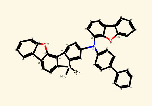 C[Si]1(C)c2cc(N(c3ccc(-c4ccccc4)cc3)c3cccc4c3oc3ccccc34)ccc2-c2c1ccc1c2oc2ccccc21